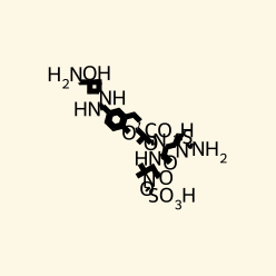 CC1(C)[C@H](NC(=O)/C(=N\O[C@](C)(C(=O)O)[C@H]2CCc3cc(C(=N)NC4CC(O)(CN)C4)ccc3O2)c2csc(N)n2)C(=O)N1OS(=O)(=O)O